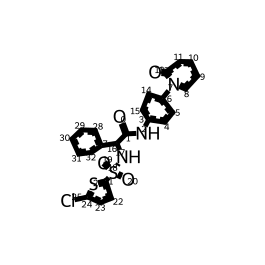 O=C(Nc1ccc(-n2ccccc2=O)cc1)C(NS(=O)(=O)c1ccc(Cl)s1)c1ccccc1